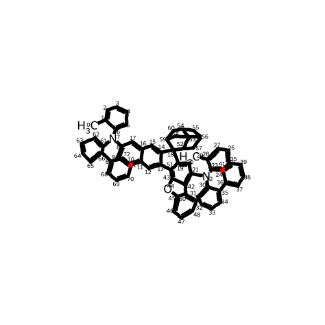 Cc1ccccc1N(c1ccc2cc3c(cc2c1)C1(c2cc(N(c4ccccc4C)c4ccccc4-c4ccccc4)c4c(oc5ccccc54)c2-3)C2CC3CC(C2)CC1C3)c1ccccc1-c1ccccc1